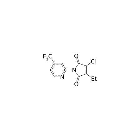 CCC1=C(Cl)C(=O)N(c2cc(C(F)(F)F)ccn2)C1=O